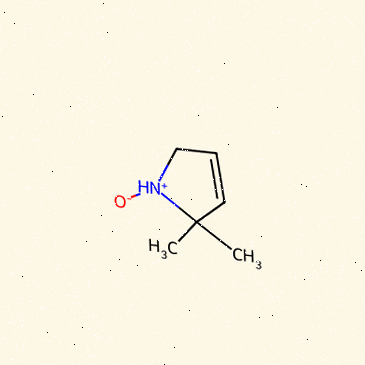 CC1(C)C=CC[NH+]1[O-]